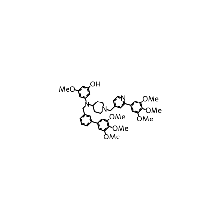 COc1cc(O)cc(N(Cc2cccc(-c3cc(OC)c(OC)c(OC)c3)c2)C2CCN(Cc3ccnc(-c4cc(OC)c(OC)c(OC)c4)c3)CC2)c1